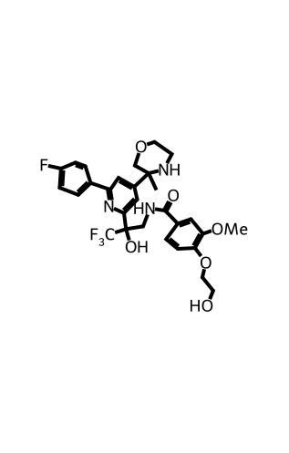 COc1cc(C(=O)NCC(O)(c2cc(C3(C)COCCN3)cc(-c3ccc(F)cc3)n2)C(F)(F)F)ccc1OCCO